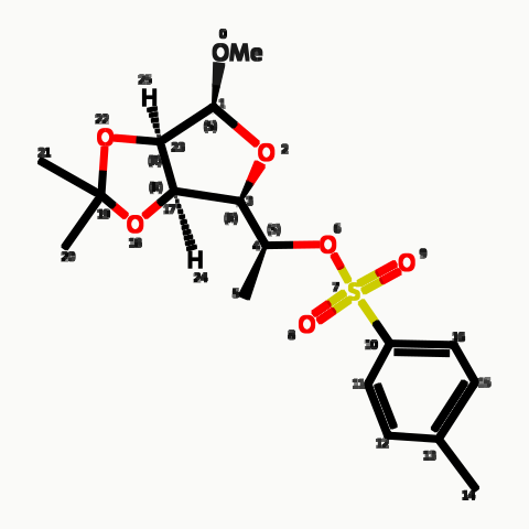 CO[C@H]1O[C@@H]([C@H](C)OS(=O)(=O)c2ccc(C)cc2)[C@H]2OC(C)(C)O[C@@H]12